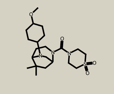 COC1CCC(N2CC3CC(C)(C)C2CCN3C(=O)N2CCS(=O)(=O)CC2)CC1